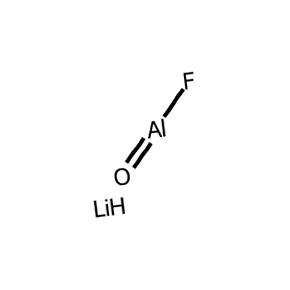 [LiH].[O]=[Al][F]